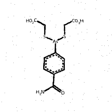 NC(=O)c1ccc([As](SCC(=O)O)SCC(=O)O)cc1